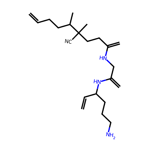 C=CCCC(C)C(C)(C#N)CCC(=C)NCC(=C)NC(C=C)CCCN